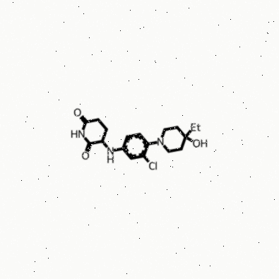 CCC1(O)CCN(c2ccc(NC3CCC(=O)NC3=O)cc2Cl)CC1